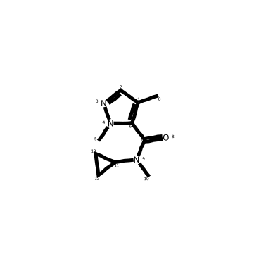 Cc1cnn(C)c1C(=O)N(C)C1CC1